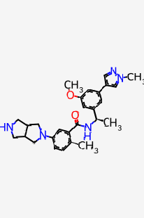 COc1cc(-c2cnn(C)c2)cc([C@@H](C)NC(=O)c2cc(N3CC4CNCC4C3)ccc2C)c1